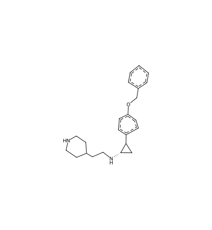 c1ccc(COc2ccc(C3C[C@@H]3NCCC3CCNCC3)cc2)cc1